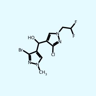 Cn1cc(C(O)c2cn(CC(F)F)nc2Cl)c(Br)n1